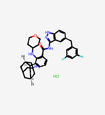 Cl.NC12CC3C[C@H](C1)C(c1cccc(C(=O)Nc4n[nH]c5ccc(Cc6cc(F)cc(F)c6)cc45)c1NC1CCOCC1)[C@@H](C3)C2